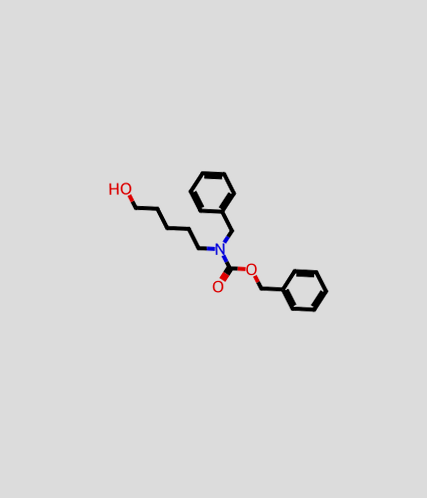 O=C(OCc1ccccc1)N(CCCCCO)Cc1ccccc1